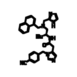 CC[C@H](C)[C@@H](CN(Cc1ncc[nH]1)Cc1cccc2ccccc12)NC(=O)Cc1cncn1Cc1ccc(C#N)cc1